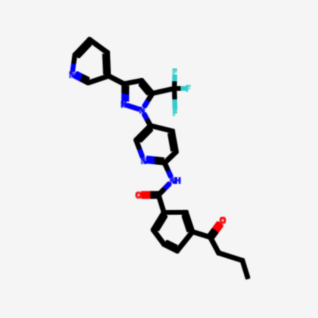 CCCC(=O)c1cccc(C(=O)Nc2ccc(-n3nc(-c4cccnc4)cc3C(F)(F)F)cn2)c1